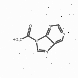 O=C(O)C(=O)n1cnc2cncnc21